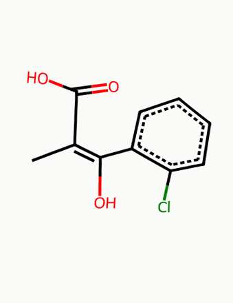 CC(C(=O)O)=C(O)c1ccccc1Cl